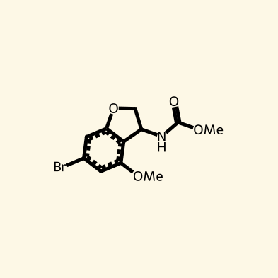 COC(=O)NC1COc2cc(Br)cc(OC)c21